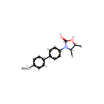 COc1ccc(-c2ccc(N3C(=O)OC(C)C3C)cc2)cc1